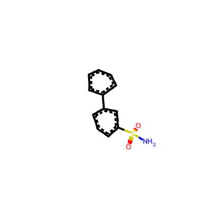 NS(=O)(=O)c1cccc(-c2c[c]ccc2)c1